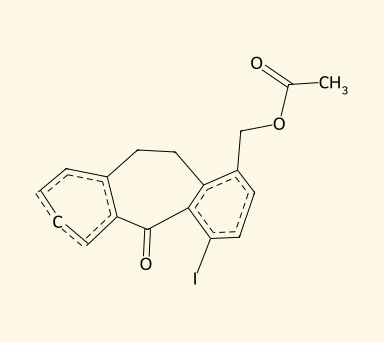 CC(=O)OCc1ccc(I)c2c1CCc1ccccc1C2=O